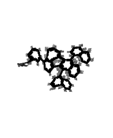 N#Cc1cccc(-c2ccc3c4c(cccc24)-c2c-3c(-c3cccc4ccccc34)c3ccccc3c2-c2cccc3ccccc23)c1